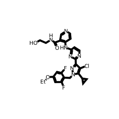 CCOc1cc(F)c(Cn2nc(-c3nccc(Nc4ccncc4C(=O)NCCO)n3)c(Cl)c2C2CC2)c(F)c1